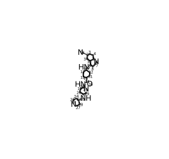 N#Cc1ccc2nccc(Nc3ccc(C(=O)Nc4ccc(Nc5ccncc5)cn4)cc3)c2c1